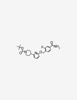 CC(C)(C)OC(=O)N1CCC(c2cccc(OCc3ccc(C(N)=O)cc3F)n2)CC1